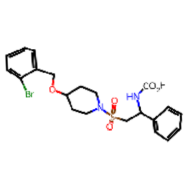 O=C(O)NC(CS(=O)(=O)N1CCC(OCc2ccccc2Br)CC1)c1ccccc1